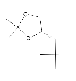 CC(C)(C)C[C@H]1COC(C)(C)O1